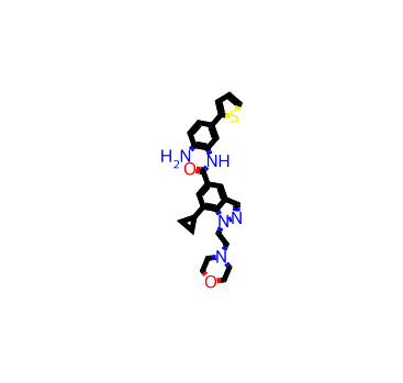 Nc1ccc(-c2cccs2)cc1NC(=O)c1cc(C2CC2)c2c(cnn2CCN2CCOCC2)c1